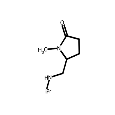 CC(C)NCC1CCC(=O)N1C